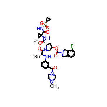 CC[C@@H]1C[C@]1(NC(=O)[C@@H]1C[C@@H](OC(=O)N2Cc3cccc(F)c3C2)CN1C(=O)[C@@H](Nc1cccc(C(=O)N2CCN(C)CC2)c1)C(C)(C)C)C(=O)NS(=O)(=O)C1CC1